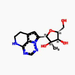 C[C@@]1(O)[C@H](O)[C@@H](CO)O[C@H]1c1cc2c3c(ncnn13)NCC2